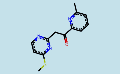 CSc1ccnc(CC(=O)c2cccc(C)n2)n1